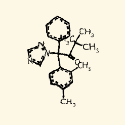 Cc1ccc(C(C(=O)C(C)(C)C)(c2ccccc2)n2cncn2)c(C)c1